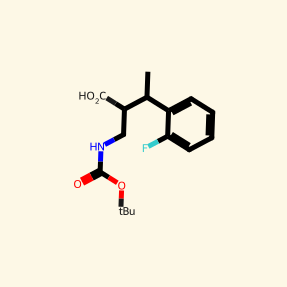 CC(c1ccccc1F)C(CNC(=O)OC(C)(C)C)C(=O)O